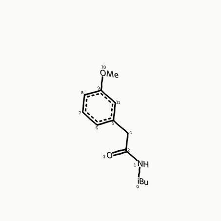 CCC(C)NC(=O)Cc1cc[c]c(OC)c1